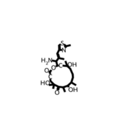 C/C(=C\c1csc(C)n1)C(N)C1CC(C)(O)CCCC(C)C(O)C(C)C(=O)C(C)(C)C(O)CC(=O)O1